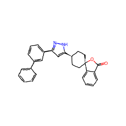 O=C1O[C@]2(CC[C@H](c3cc(-c4cccc(-c5ccccc5)c4)n[nH]3)CC2)c2ccccc21